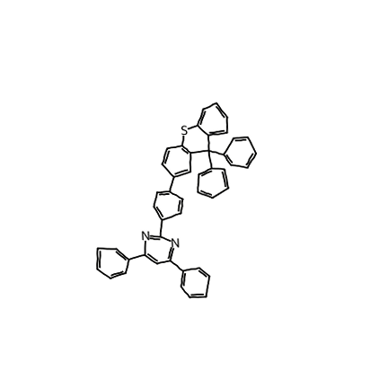 c1ccc(-c2cc(-c3ccccc3)nc(-c3ccc(-c4ccc5c(c4)C(c4ccccc4)(c4ccccc4)c4ccccc4S5)cc3)n2)cc1